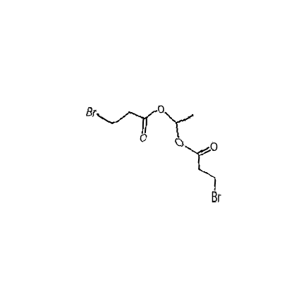 CC(OC(=O)CCBr)OC(=O)CCBr